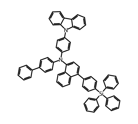 c1ccc(-c2ccc(N(c3ccc(-n4c5ccccc5c5ccccc54)cc3)c3ccc(-c4ccc([Si](c5ccccc5)(c5ccccc5)c5ccccc5)cc4)c4ccccc34)cc2)cc1